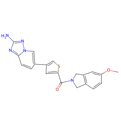 COc1ccc2c(c1)CN(C(=O)c1cc(-c3ccc4nc(N)nn4c3)cs1)C2